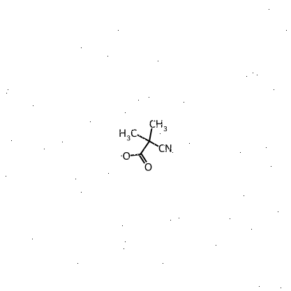 CC(C)(C#N)C([O])=O